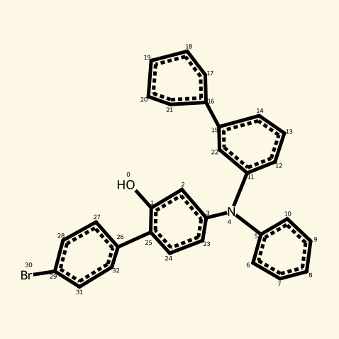 Oc1cc(N(c2ccccc2)c2cccc(-c3ccccc3)c2)ccc1-c1ccc(Br)cc1